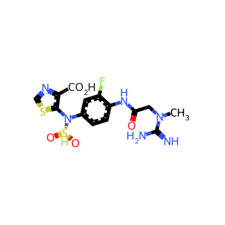 CN(CC(=O)Nc1ccc(N(c2scnc2C(=O)O)[SH](=O)=O)cc1F)C(=N)N